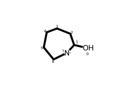 OC1CCCCC[N]1